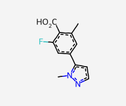 Cc1cc(-c2ccnn2C)cc(F)c1C(=O)O